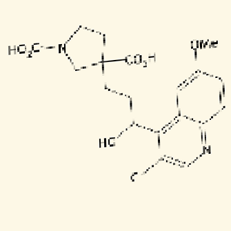 COc1ccc2ncc(Cl)c(C(O)CCC3(C(=O)O)CCN(C(=O)O)C3)c2c1